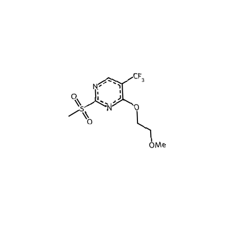 COCCOc1nc(S(C)(=O)=O)ncc1C(F)(F)F